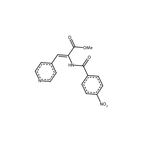 COC(=O)C(=Cc1ccncc1)NC(=O)c1ccc([N+](=O)[O-])cc1